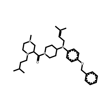 CC(C)=CCN(c1ccc(OCc2ccccc2)cc1)C1CCN(C(=O)C2CN(C)CCN2CCC(C)C)CC1